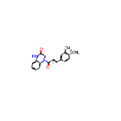 Cc1ccc(/C=C/C(=O)N2CC(=O)Nc3ccccc32)cc1C